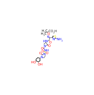 CC(C)(ON=C(C(=O)N[C@H]1CN(C(=O)NS(=O)(=O)N2CCN(c3ccc(O)c(O)c3)C2=O)C1=O)c1csc(N)n1)C(=O)O